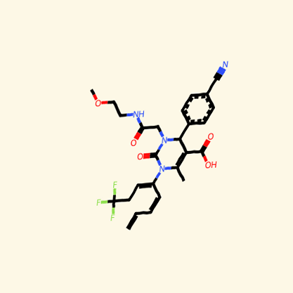 C=C/C=C\C(=C/CC(F)(F)F)N1C(=O)N(CC(=O)NCCOC)C(c2ccc(C#N)cc2)C(C(=O)O)=C1C